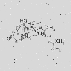 CC(C)CCC[C@@H](C)[C@H]1CC[C@H]2[C@@H]3C(O)C[C@H]4CC(=O)CC[C@]4(C)[C@H]3CC[C@]12C